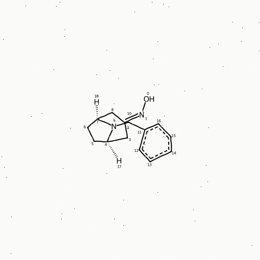 O/N=C1/C[C@H]2CC[C@@H](C1)N2Cc1ccccc1